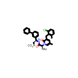 CCCC[C@@H](C(=O)N[C@@H](CC(=O)O)c1cccc(-c2ccccc2)c1)n1cc(C)cc(Cc2c(C)cccc2Cl)c1=O